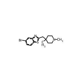 CN1CCC(C)(Cc2nc3cc(Br)ccc3s2)CC1